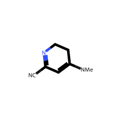 CNC1=CC(C#N)=NCC1